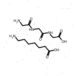 NCC(=O)NCC(=O)NCC(=O)O.NCCCCCCC(=O)O